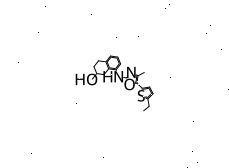 CCc1ccc(-c2oc(Nc3cccc4c3CC(O)CC4)nc2C)s1